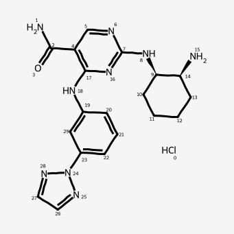 Cl.NC(=O)c1cnc(N[C@@H]2CCCC[C@@H]2N)nc1Nc1cccc(-n2nccn2)c1